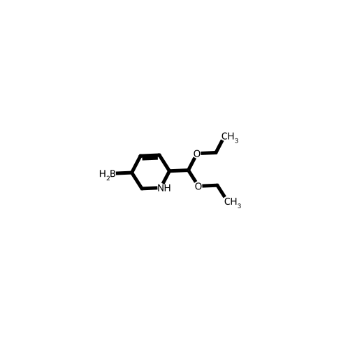 BC1C=CC(C(OCC)OCC)NC1